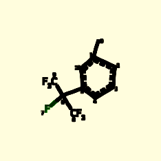 Cc1cccc(C(F)(C(F)(F)F)C(F)(F)F)c1